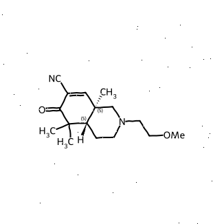 COCCN1CC[C@@H]2C(C)(C)C(=O)C(C#N)=C[C@@]2(C)C1